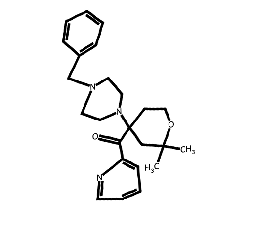 CC1(C)CC(C(=O)c2ccccn2)(N2CCN(Cc3ccccc3)CC2)CCO1